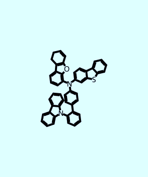 C1=Cc2oc3c(N(c4ccc(-c5ccccc5-n5c6ccccc6c6ccccc65)cc4)c4ccc5c(c4)sc4ccccc45)cccc3c2CC1